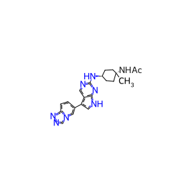 CC(=O)N[C@]1(C)CC[C@@H](Nc2ncc3c(-c4ccc5nncn5c4)c[nH]c3n2)CC1